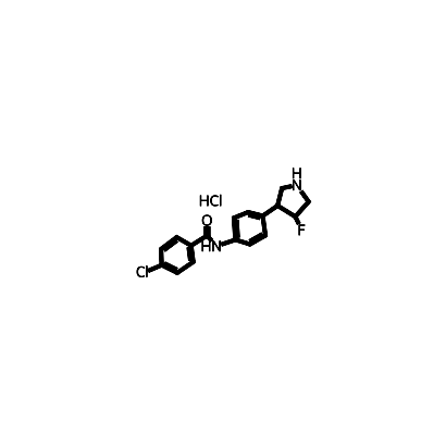 Cl.O=C(Nc1ccc(C2CNCC2F)cc1)c1ccc(Cl)cc1